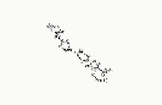 CNCC(=O)Nc1ccc(-c2ccc(C(=O)N[C@@H](CN)C(=O)NO)cc2)cc1